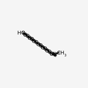 CCCCc1cccc2cc(OCCOCCOCCOCCOCCOCCOCCOCCOCCOCCOCCOCCOCCO)ccc12